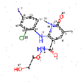 Cc1cc(C(=O)NOCCO)c(Nc2ccc(I)cc2Cl)n(C)c1=O